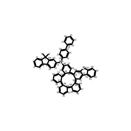 CC1(C)c2ccccc2-c2ccc(N(c3ccc(-c4ccccc4)cc3)c3ccc4c(c3)c3ccccc3c3ccccc3c3ccccc3c3cc5c(cc43)sc3ccccc35)cc21